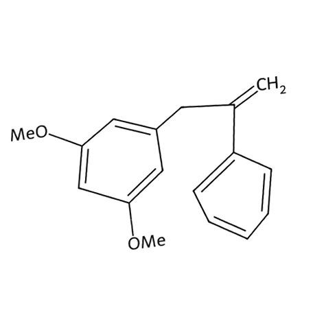 C=C(Cc1cc(OC)cc(OC)c1)c1ccccc1